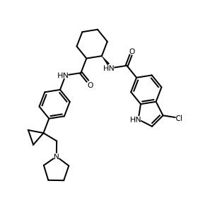 O=C(N[C@@H]1CCCCC1C(=O)Nc1ccc(C2(CN3CCCC3)CC2)cc1)c1ccc2c(Cl)c[nH]c2c1